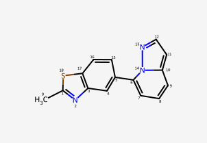 Cc1nc2cc(-c3cccc4ccnn34)ccc2s1